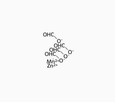 O=C[O-].O=C[O-].O=C[O-].O=C[O-].[Mn+2].[Zn+2]